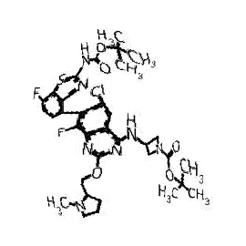 CN1CCCC1COc1nc(NC2CN(C(=O)OC(C)(C)C)C2)c2cc(Cl)c(-c3ccc(F)c4sc(NC(=O)OC(C)(C)C)nc34)c(F)c2n1